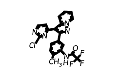 Cc1ccc(-c2nn3ccccc3c2-c2ccnc(Cl)n2)cc1NC(=O)C(F)(F)F